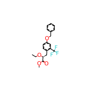 CCO[C@@H](Cc1ccc(OCc2ccccc2)cc1C(F)(F)F)C(=O)OC